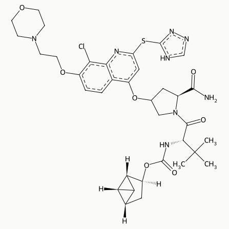 CC(C)(C)[C@H](NC(=O)O[C@H]1C[C@H]2C3[C@@H]1[C@H]32)C(=O)N1CC(Oc2cc(Sc3nnc[nH]3)nc3c(Cl)c(OCCN4CCOCC4)ccc23)C[C@H]1C(N)=O